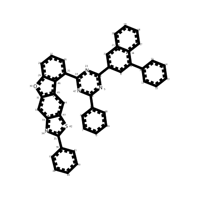 c1ccc(-c2nc(-c3cc(-c4ccccc4)c4ccccc4c3)nc(-c3cccc4oc5cc6nc(-c7ccccc7)sc6cc5c34)n2)cc1